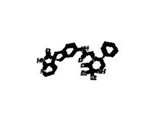 CCC1(CC)NC[C@@H](c2ccccc2)N(CC(=O)Nc2ccc3c(c2)C[C@@]2(C3)C(=O)Nc3ncccc32)C1=O